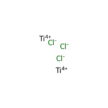 [Cl-].[Cl-].[Cl-].[Ti+4].[Ti+4]